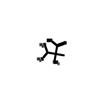 CC(N)(C(=O)O)C(N)N